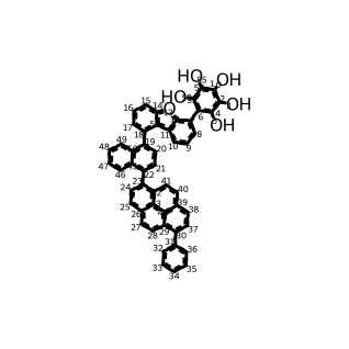 Oc1c(O)c(O)c(-c2cccc3c2oc2cccc(-c4ccc(-c5ccc6ccc7c(-c8ccccc8)ccc8ccc5c6c87)c5ccccc45)c23)c(O)c1O